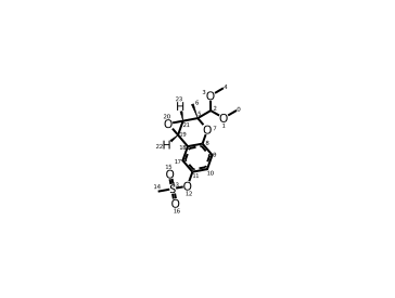 COC(OC)[C@]1(C)Oc2ccc(OS(C)(=O)=O)cc2[C@@H]2O[C@@H]21